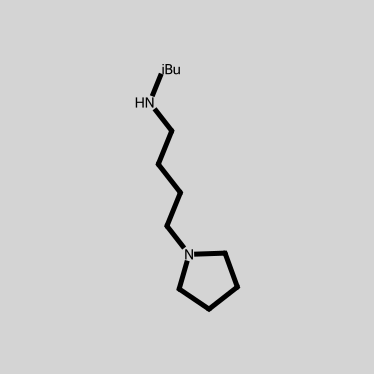 CCC(C)NCCCCN1CCCC1